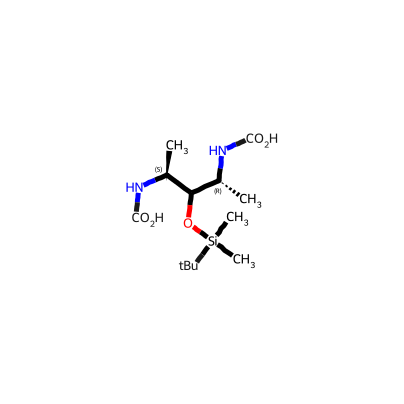 C[C@H](NC(=O)O)C(O[Si](C)(C)C(C)(C)C)[C@@H](C)NC(=O)O